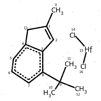 CC1=Cc2c(cccc2C(C)(C)C)[CH]1.[Cl][Hf][Cl]